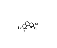 CCc1cc2ccc3cc(CC)c(CC)nc3c2nc1CC